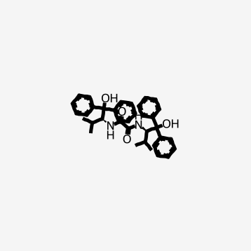 CC(C)[C@@H](NC(=O)C(=O)N[C@H](C(C)C)C(O)(c1ccccc1)c1ccccc1)C(O)(c1ccccc1)c1ccccc1